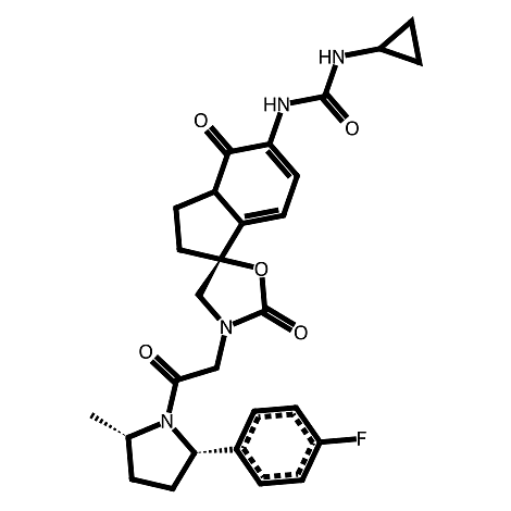 C[C@H]1CC[C@@H](c2ccc(F)cc2)N1C(=O)CN1C[C@]2(CCC3C(=O)C(NC(=O)NC4CC4)=CC=C32)OC1=O